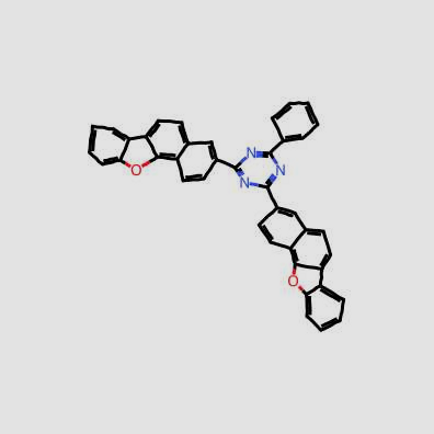 c1ccc(-c2nc(-c3ccc4c(ccc5c6ccccc6oc45)c3)nc(-c3ccc4c(ccc5c6ccccc6oc45)c3)n2)cc1